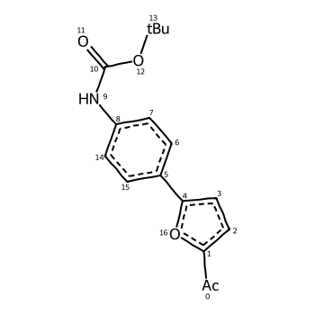 CC(=O)c1ccc(-c2ccc(NC(=O)OC(C)(C)C)cc2)o1